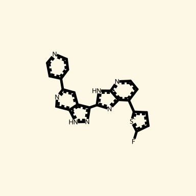 Fc1ccc(-c2ccnc3[nH]c(-c4n[nH]c5cnc(-c6ccncc6)cc45)nc23)s1